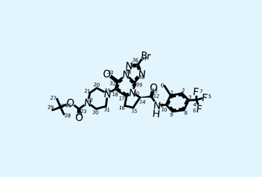 Cc1cc(C(F)(F)F)ccc1NC(=O)[C@H]1CCc2c(N3CCN(C(=O)OC(C)(C)C)CC3)c(=O)n3nc(Br)nc3n21